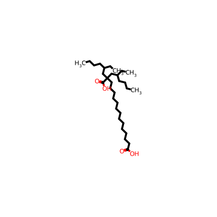 CCCCC(CC)CC(CCCCCCCCCCCCCC(=O)O)(CC(CC)CCCC)C(=O)O